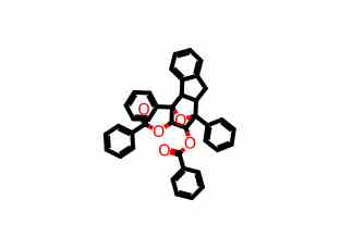 O=C(OC1C(OC(=O)c2ccccc2)C2(c3ccccc3)OC1(c1ccccc1)C1Cc3ccccc3C12)c1ccccc1